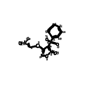 O=CCOc1no[n+]([O-])c1S(=O)(=O)c1ccccc1